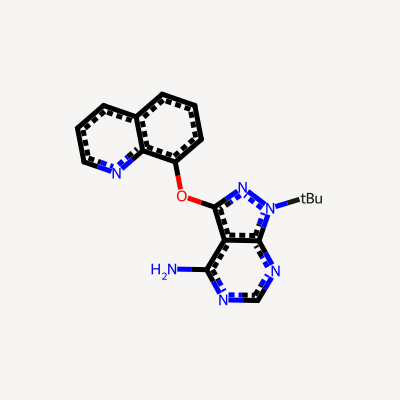 CC(C)(C)n1nc(Oc2cccc3cccnc23)c2c(N)ncnc21